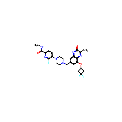 CNC(=O)c1ccc(N2CCN(Cc3cc(OC4CC(F)(F)C4)c4nc(C)c(=O)[nH]c4c3)CC2)c(F)n1